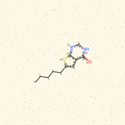 CCCCCc1cc2c(=O)[nH]cnc2s1